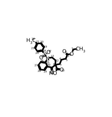 CCOC(=O)CCCC1(C(=O)O)CCN(S(=O)(=O)c2ccc(C)cc2)c2ccccc2C1=O